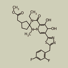 CCN1C(=O)C2=C(O)C(O)C(c3nnc(Cc4ccc(F)cc4F)s3)=CN2N(C)C12CCC(CC(=O)OC)C2